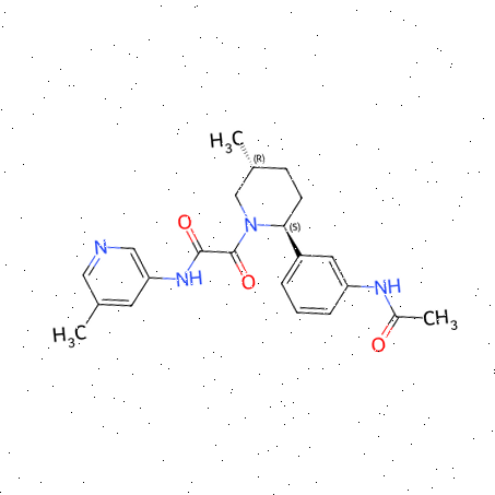 CC(=O)Nc1cccc([C@@H]2CC[C@@H](C)CN2C(=O)C(=O)Nc2cncc(C)c2)c1